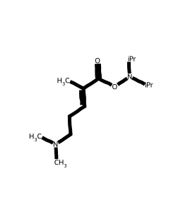 CC(=CCCN(C)C)C(=O)ON(C(C)C)C(C)C